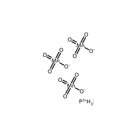 [O]=[Mn](=[O])(=[O])[O-].[O]=[Mn](=[O])(=[O])[O-].[O]=[Mn](=[O])(=[O])[O-].[PH3+3]